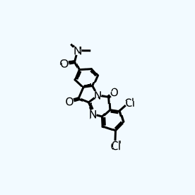 CN(C)C(=O)c1ccc2c(c1)C(=O)c1nc3cc(Cl)cc(Cl)c3c(=O)n1-2